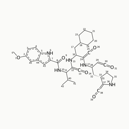 COc1ccc2[nH]c(C(=O)NC(C(=C=O)NC(CC3CCCCC3)C(=C=O)NC(C=C=O)C[C@@H]3CCNC3=C=O)C(C)C)cc2c1